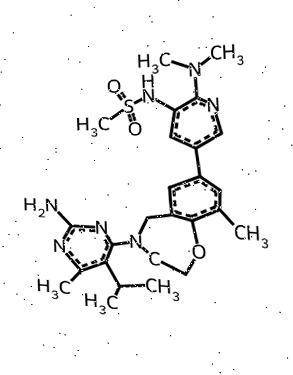 Cc1cc(-c2cnc(N(C)C)c(NS(C)(=O)=O)c2)cc2c1OCCN(c1nc(N)nc(C)c1C(C)C)C2